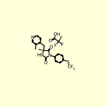 Cc1cnccc1C[C@@]1(C)NC(=O)N(c2ccc(SC(F)(F)F)cc2)C1=O.O=C(O)C(F)(F)F